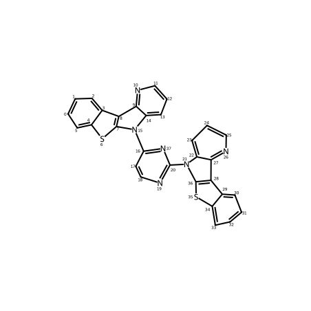 c1ccc2c(c1)sc1c2c2ncccc2n1-c1ccnc(-n2c3cccnc3c3c4ccccc4sc32)n1